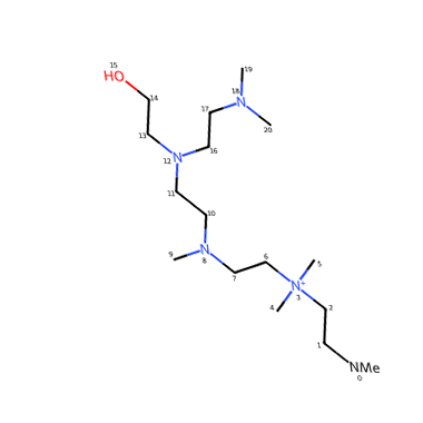 CNCC[N+](C)(C)CCN(C)CCN(CCO)CCN(C)C